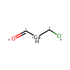 O=[CH][GaH][CH2]Cl